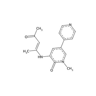 CC(=O)C=C(C)Nc1cc(-c2ccncc2)cn(C)c1=O